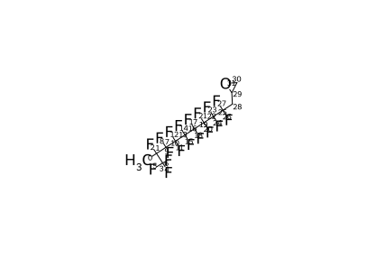 CC(F)(C(F)(F)F)C(F)(F)C(F)(F)C(F)(F)C(F)(F)C(F)(F)C(F)(F)C(F)(F)CC1CO1